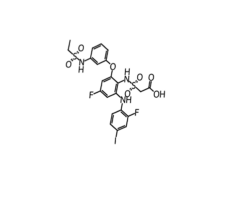 CCS(=O)(=O)Nc1cccc(Oc2cc(F)cc(Nc3ccc(I)cc3F)c2NS(=O)(=O)CC(=O)O)c1